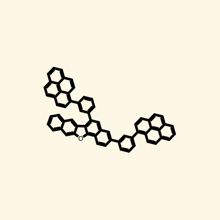 c1cc(-c2ccc3c(c2)cc(-c2cccc(-c4ccc5ccc6cccc7ccc4c5c67)c2)c2c4cc5ccccc5cc4oc32)cc(-c2ccc3ccc4cccc5ccc2c3c45)c1